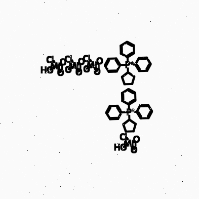 [O]=[Mn](=[O])([O-])[Cl].[O]=[Mn](=[O])([O-])[Cl].[O]=[Mn](=[O])([OH])[Cl].[O]=[Mn](=[O])([OH])[Cl].c1ccc([P+](c2ccccc2)(c2ccccc2)C2CCCC2)cc1.c1ccc([P+](c2ccccc2)(c2ccccc2)C2CCCC2)cc1